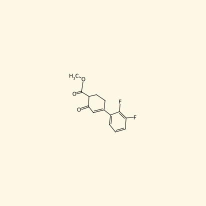 COC(=O)C1CCC(c2cccc(F)c2F)=CC1=O